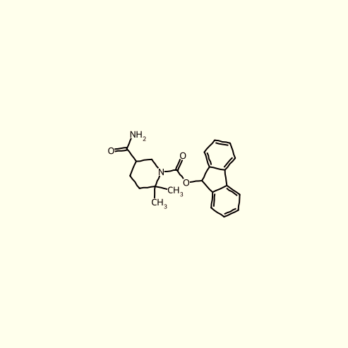 CC1(C)CCC(C(N)=O)CN1C(=O)OC1c2ccccc2-c2ccccc21